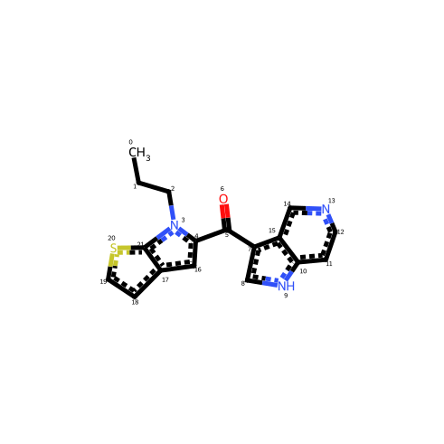 CCCn1c(C(=O)c2c[nH]c3ccncc23)cc2ccsc21